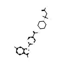 Cc1nn(-c2ncc(C(=O)N[C@H]3CC[C@H](C(C)(C)CC(=O)O)CC3)cn2)c2cc(F)ccc12